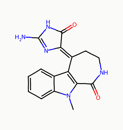 Cn1c2c(c3ccccc31)/C(=C1\N=C(N)NC1=O)CCNC2=O